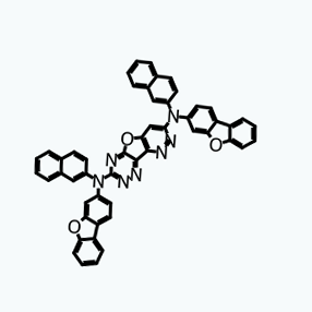 c1ccc2cc(N(c3ccc4c(c3)oc3ccccc34)c3cc4oc5nc(N(c6ccc7ccccc7c6)c6ccc7c(c6)oc6ccccc67)nnc5c4nn3)ccc2c1